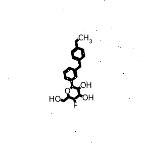 CCc1ccc(Cc2cccc(C3OC(CO)C(F)C(O)C3O)c2)cc1